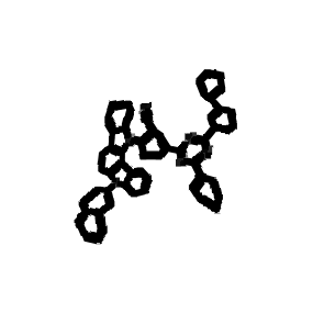 N#Cc1cc(-c2nc(-c3ccccc3)nc(-c3cccc(-c4ccccc4)c3)n2)ccc1-n1c2ccccc2c2ccc3c(c4ccccc4n3-c3ccc4ccccc4c3)c21